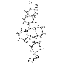 Fc1cc2ccc(-c3c4ccccc4c(-c4ccc(OC(F)(F)F)cc4)c4ccccc34)cc2cc1F